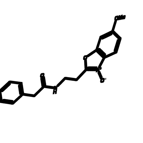 COc1ccc2c(c1)oc(CCNC(=O)Cc1ccccc1)[n+]2[O-]